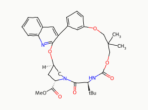 COC(=O)[C@@H]1C[C@@H]2CN1C(=O)[C@H](C(C)(C)C)NC(=O)OCC(C)(C)COc1cccc(c1)-c1cc3ccccc3nc1O2